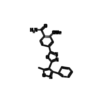 COc1cc(-c2nnc(-c3c(-c4ccccc4)noc3C)o2)ccc1C(N)=O